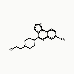 Nc1ccc2c(c1)nc(N1CCN(CCO)CC1)c1ccsc12